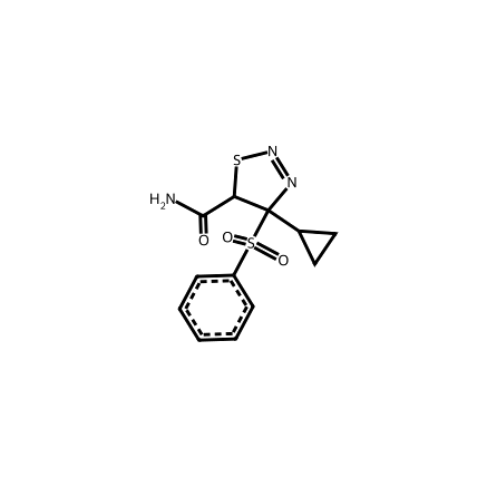 NC(=O)C1SN=NC1(C1CC1)S(=O)(=O)c1ccccc1